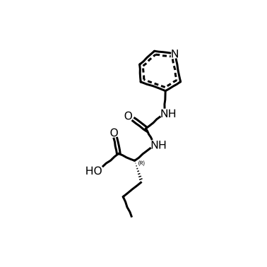 CCC[C@@H](NC(=O)Nc1cccnc1)C(=O)O